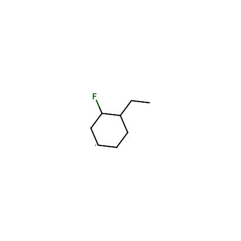 CCC1CC[CH]CC1F